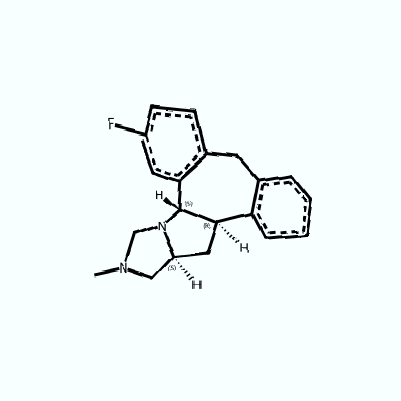 CN1C[C@@H]2C[C@@H]3c4ccccc4Cc4ccc(F)cc4[C@H]3N2C1